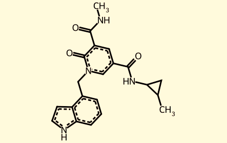 CNC(=O)c1cc(C(=O)NC2CC2C)cn(Cc2cccc3[nH]ccc23)c1=O